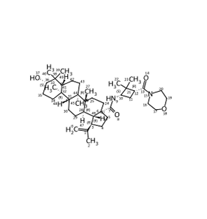 C=C(C)[C@@H]1CC[C@]2(C(=O)N[C@H]3C[C@@H](C(=O)N4CCOCC4)C3(C)C)CC[C@]3(C)[C@H](CC[C@@H]4[C@@]5(C)CC[C@H](O)C(C)(C)[C@@H]5CC[C@]43C)[C@@H]12